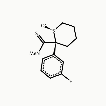 CNC(=S)[C@@]1(c2cccc(F)c2)CCCC[S@+]1[O-]